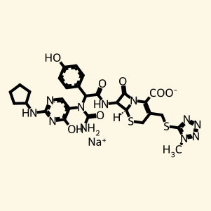 Cn1nnnc1SCC1=C(C(=O)[O-])N2C(=O)C(NC(=O)C(c3ccc(O)cc3)N(C(N)=O)c3cnc(NC4CCCC4)nc3O)[C@@H]2SC1.[Na+]